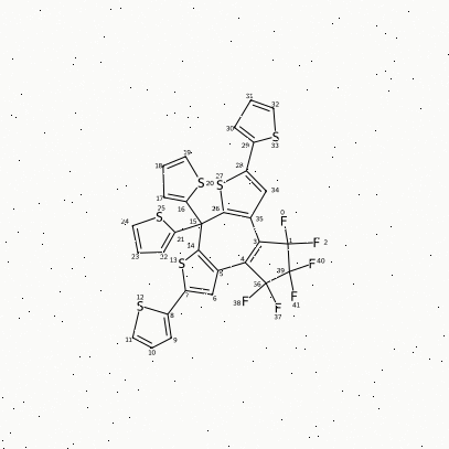 FC1(F)C2=C(c3cc(-c4cccs4)sc3C(c3cccs3)(c3cccs3)c3sc(-c4cccs4)cc32)C(F)(F)C1(F)F